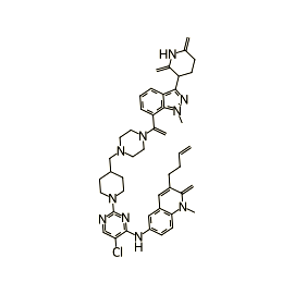 C=CCCC1=Cc2cc(Nc3nc(N4CCC(CN5CCN(C(=C)c6cccc7c(C8CCC(=C)NC8=C)nn(C)c67)CC5)CC4)ncc3Cl)ccc2N(C)C1=C